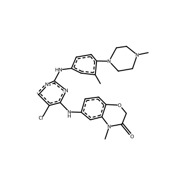 Cc1cc(Nc2ncc(Cl)c(Nc3ccc4c(c3)N(C)C(=O)CO4)n2)ccc1N1CCN(C)CC1